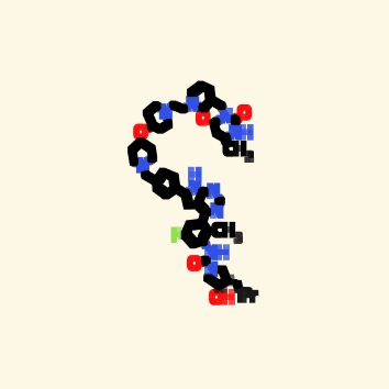 C=C1CCN(Cc2cccn(CCN3CCC(OC4CCN(Cc5ccc(-c6cc7c(-c8cc(F)cc(NC(=O)N9C[C@H](CC(C)C)[C@@H](O)C9)c8C)ncnc7[nH]6)cc5)CC4)CC3)c2=O)C(=O)N1